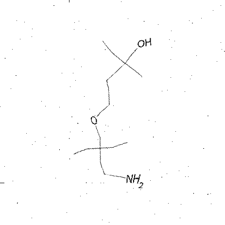 CC(C)(O)CCOC(C)(C)CN